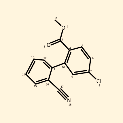 COC(=O)c1ccc(Cl)cc1-c1ccccc1C#N